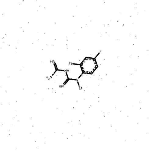 CCc1cc(F)ccc1N(CC)C(=N)NC(=N)N